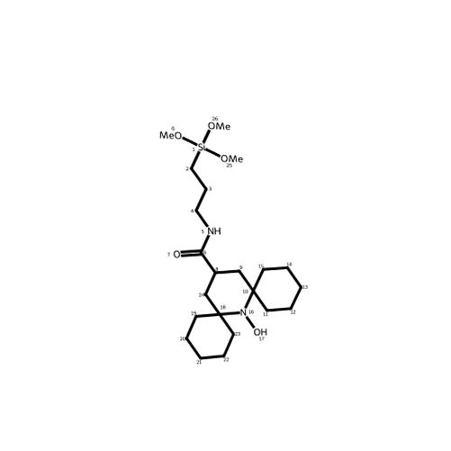 CO[Si](CCCNC(=O)C1CC2(CCCCC2)N(O)C2(CCCCC2)C1)(OC)OC